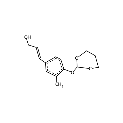 Cc1cc(C=CCO)ccc1OC1CCCCO1